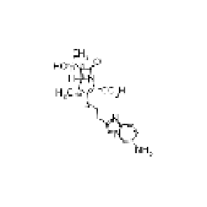 C[C@@H](O)[C@H]1C(=O)N2C(C(=O)O)=C(SCCc3cn4cc(N)ccc4n3)[C@H](C)[C@H]12